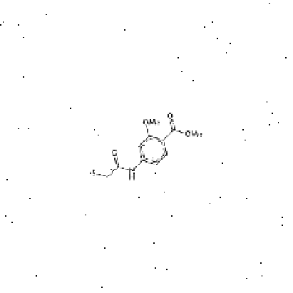 COC(=O)c1ccc(NC(=O)C[S])cc1OC